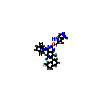 Cn1ncc2[nH]c(COc3nc(N4C[C@H]5CC[C@@H](C4)N5)c4cnc(-c5cccc6ccc(F)c(F)c56)c(F)c4n3)cc21